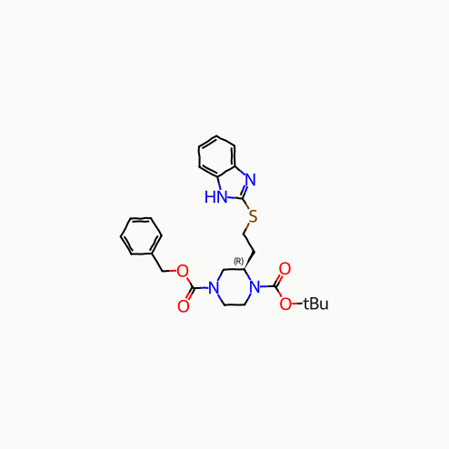 CC(C)(C)OC(=O)N1CCN(C(=O)OCc2ccccc2)C[C@H]1CCSc1nc2ccccc2[nH]1